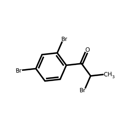 CC(Br)C(=O)c1ccc(Br)cc1Br